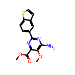 COC(=O)c1nc(-c2ccc3sccc3c2)nc(N)c1OC